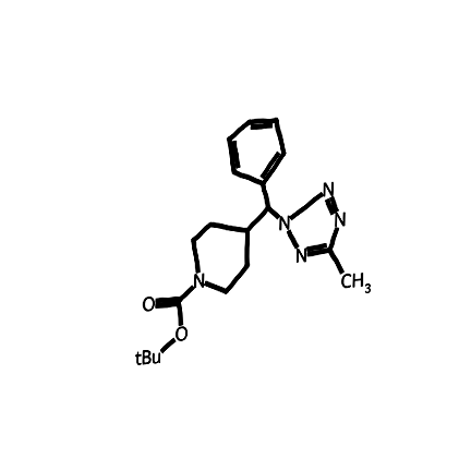 Cc1nnn(C(c2ccccc2)C2CCN(C(=O)OC(C)(C)C)CC2)n1